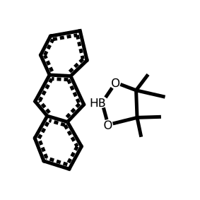 CC1(C)OBOC1(C)C.c1ccc2cc3ccccc3cc2c1